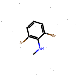 CNc1c(Br)c[c]cc1Br